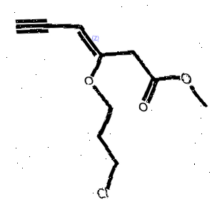 C#C/C=C(/CC(=O)OC)OCCCCl